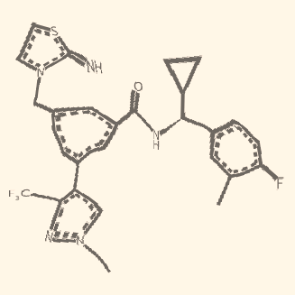 Cc1cc([C@@H](NC(=O)c2cc(Cn3ccsc3=N)cc(-c3cn(C)nc3C(F)(F)F)c2)C2CC2)ccc1F